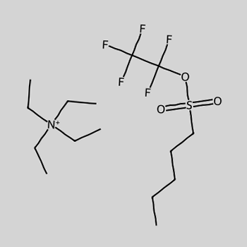 CCCCCS(=O)(=O)OC(F)(F)C(F)(F)F.CC[N+](CC)(CC)CC